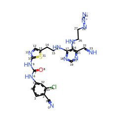 N#Cc1ccc(NC(=O)Nc2ncc(CCNc3ncnc(C=N)c3NCCN=[N+]=[N-])s2)cc1Cl